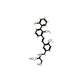 Cc1c(/C=C/c2cc(CNC(CO)C(=O)O)ccc2C(F)(F)F)cccc1-c1ccccc1F